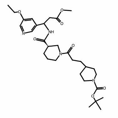 CCOc1cncc(C(CC(=O)OC)NC(=O)[C@@H]2CCCN(C(=O)CCC3CCN(C(=O)OC(C)(C)C)CC3)C2)c1